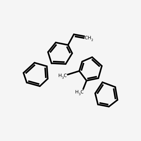 C=Cc1ccccc1.Cc1ccccc1C.c1ccccc1.c1ccccc1